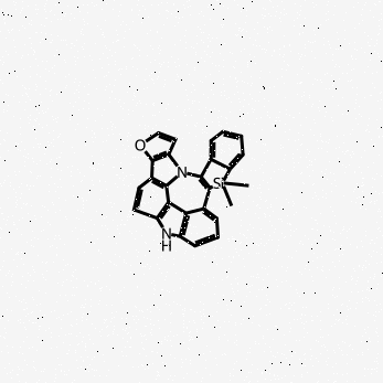 C[Si]1(C)c2ccccc2-c2c1c1cccc3[nH]c4ccc5c6occc6n2c5c4c31